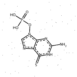 Nc1nc2c(ncn2OP(=O)(O)O)c(=S)[nH]1